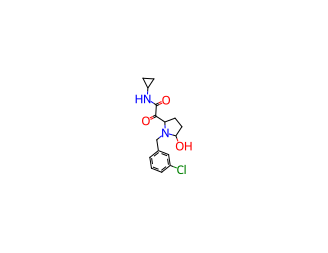 O=C(NC1CC1)C(=O)C1CCC(O)N1Cc1cccc(Cl)c1